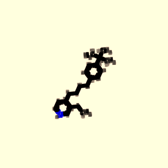 CCc1cnccc1CCCCc1ccc(C(C)(C)C)cc1